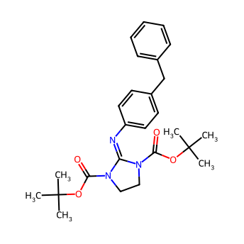 CC(C)(C)OC(=O)N1CCN(C(=O)OC(C)(C)C)C1=Nc1ccc(Cc2ccccc2)cc1